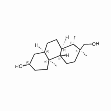 C[C@H]1[C@@H]2CC[C@@H]3C[C@H](O)CC[C@]3(C)[C@H]2CC[C@]1(C)CO